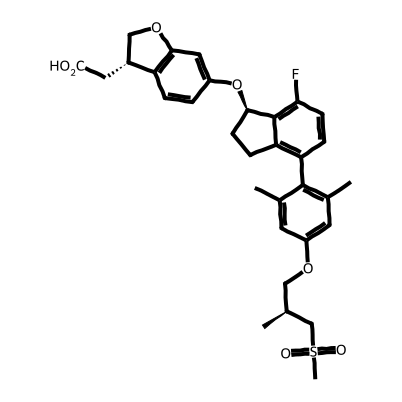 Cc1cc(OC[C@H](C)CS(C)(=O)=O)cc(C)c1-c1ccc(F)c2c1CC[C@H]2Oc1ccc2c(c1)OC[C@H]2CC(=O)O